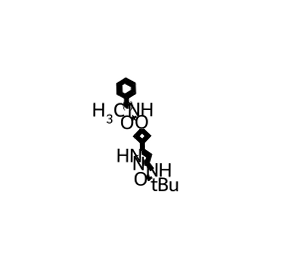 C[C@H](NC(=O)OC1CC(c2cc(NC(=O)C(C)(C)C)n[nH]2)C1)c1ccccc1